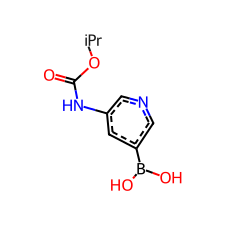 CC(C)OC(=O)Nc1cncc(B(O)O)c1